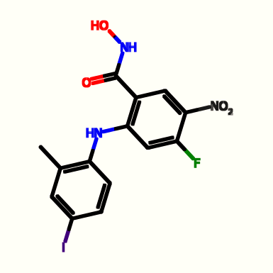 Cc1cc(I)ccc1Nc1cc(F)c([N+](=O)[O-])cc1C(=O)NO